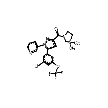 O=C(c1cc(-c2cc(Cl)cc(OC(F)(F)F)c2)n(-c2cccnc2)n1)N1CCS(O)(O)C1